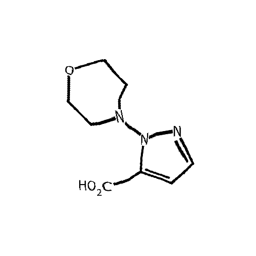 O=C(O)c1ccnn1N1CCOCC1